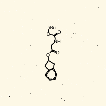 CCCCOC(=O)NCC(=O)OC1Cc2ccccc2C1